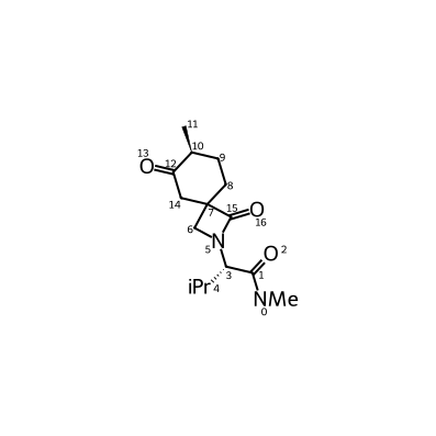 CNC(=O)[C@H](C(C)C)N1CC2(CC[C@H](C)C(=O)C2)C1=O